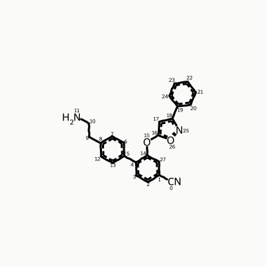 N#Cc1ccc(-c2ccc(CCN)cc2)c(Oc2cc(-c3ccccc3)no2)c1